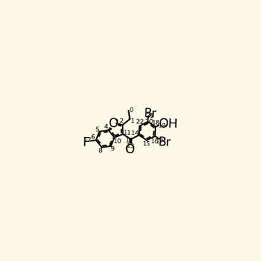 CCc1oc2cc(F)ccc2c1C(=O)c1cc(Br)c(O)c(Br)c1